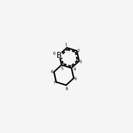 b1cccc2c1CCCC2